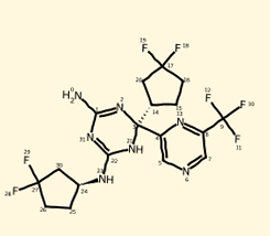 NC1=NC(c2cncc(C(F)(F)F)n2)([C@H]2CCC(F)(F)C2)NC(N[C@H]2CCC(F)(F)C2)=N1